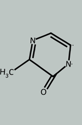 CC1=NC=[C][N]C1=O